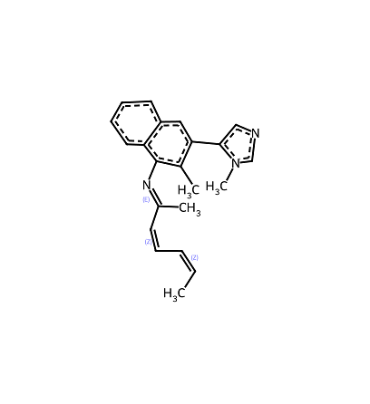 C\C=C/C=C\C(C)=N\c1c(C)c(-c2cncn2C)cc2ccccc12